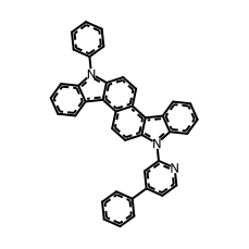 c1ccc(-c2ccnc(-n3c4ccccc4c4c5ccc6c(c5ccc43)c3ccccc3n6-c3ccccc3)c2)cc1